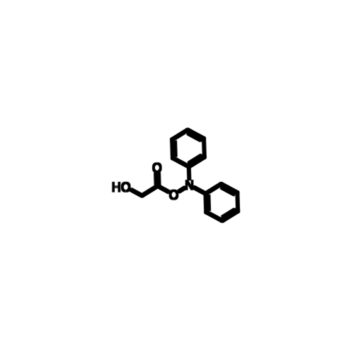 O=C(CO)ON(c1ccccc1)c1ccccc1